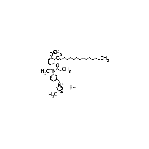 CCCCCCCCCCCCCCOc1cc(C(C)N(C(=O)CC)c2cccc(C[n+]3csc(C)c3)c2)ccc1OC.[Br-]